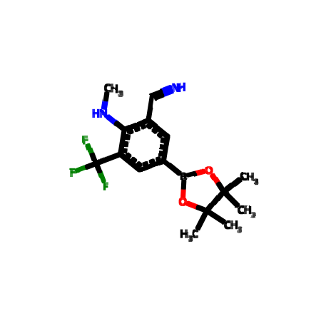 CNc1c(C=N)cc(B2OC(C)(C)C(C)(C)O2)cc1C(F)(F)F